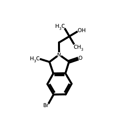 CC1c2cc(Br)ccc2C(=O)N1CC(C)(C)O